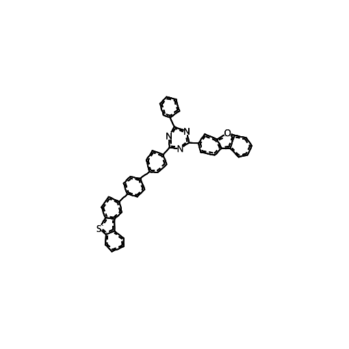 c1ccc(-c2nc(-c3ccc(-c4ccc(-c5ccc6sc7ccccc7c6c5)cc4)cc3)nc(-c3ccc4c(c3)oc3ccccc34)n2)cc1